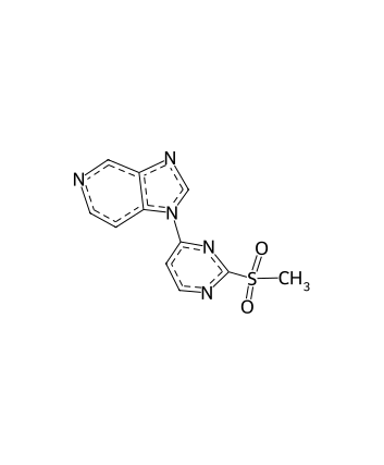 CS(=O)(=O)c1nccc(-n2cnc3cnccc32)n1